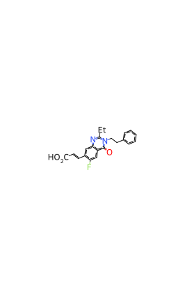 CCc1nc2cc(C=CC(=O)O)c(F)cc2c(=O)n1CCc1ccccc1